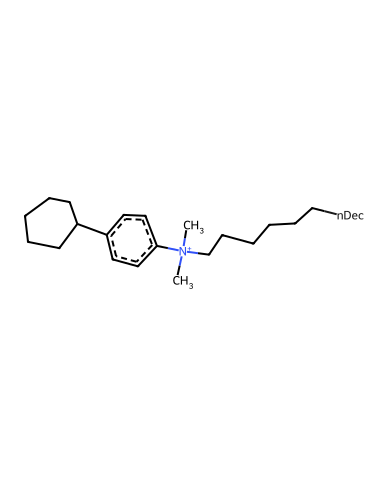 CCCCCCCCCCCCCCCC[N+](C)(C)c1ccc(C2CCCCC2)cc1